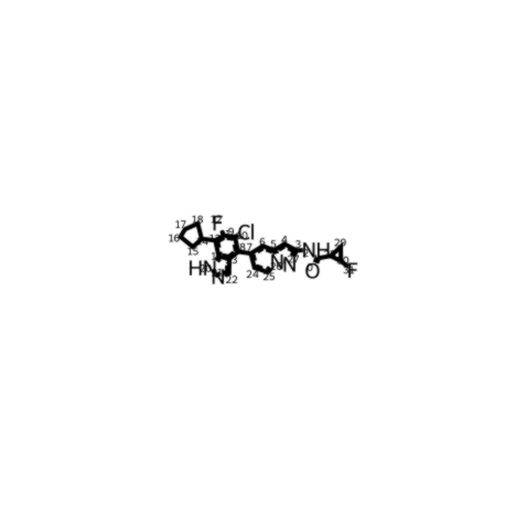 O=C(Nc1cc2cc(-c3c(Cl)c(F)c(C4CCCC4)c4[nH]ncc34)ccn2n1)C1CC1F